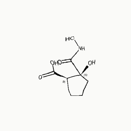 O=C(O)[C@@H]1CCC[C@@]1(O)C(=O)NO